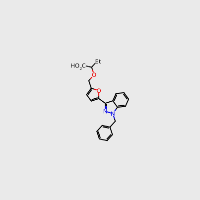 CCC(OCc1ccc(-c2nn(Cc3ccccc3)c3ccccc23)o1)C(=O)O